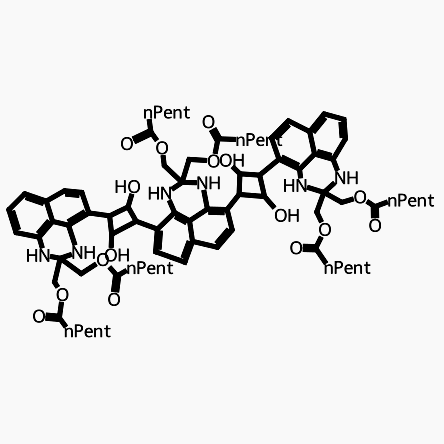 CCCCCC(=O)OCC1(COC(=O)CCCCC)Nc2cccc3ccc(C4C(O)C(c5ccc6ccc(C7C(O)C(c8ccc9cccc%10c9c8NC(COC(=O)CCCCC)(COC(=O)CCCCC)N%10)C7O)c7c6c5NC(COC(=O)CCCCC)(COC(=O)CCCCC)N7)C4O)c(c23)N1